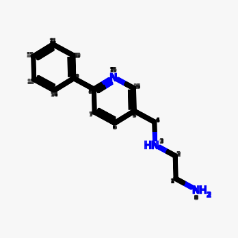 NCCNCc1ccc(-c2ccccc2)nc1